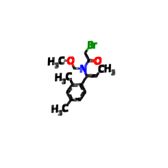 CC=C(c1ccc(C)cc1C)N(COC)C(=O)CBr